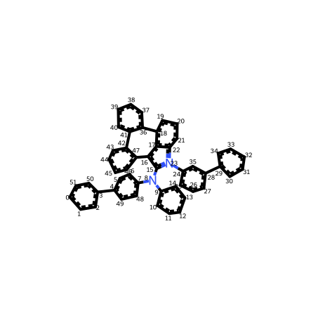 c1ccc(-c2ccc(N(c3ccccc3)c3c4c5c(cccc5n3-c3cccc(-c5ccccc5)c3)-c3ccccc3-c3ccccc3-4)cc2)cc1